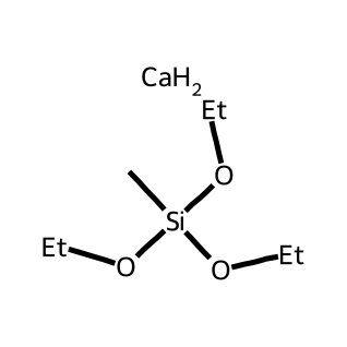 CCO[Si](C)(OCC)OCC.[CaH2]